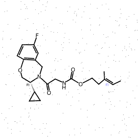 C/C=C(\C)CCOC(=O)NCC(=O)N1Cc2cc(F)ccc2OC[C@H]1C1CC1